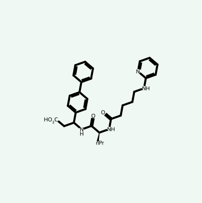 CCC[C@H](NC(=O)CCCCNc1ccccn1)C(=O)NC(CC(=O)O)c1ccc(-c2ccccc2)cc1